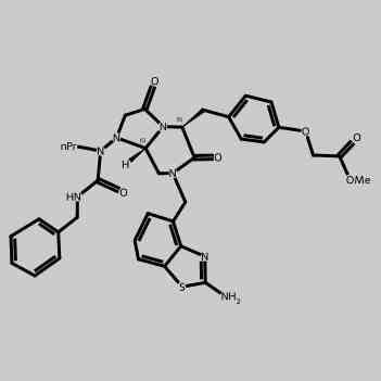 CCCN(C(=O)NCc1ccccc1)N1CC(=O)N2[C@@H](Cc3ccc(OCC(=O)OC)cc3)C(=O)N(Cc3cccc4sc(N)nc34)C[C@@H]21